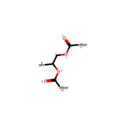 CCCCCCCCCC(=O)OCC(CCC)OC(=O)CCCCCCCCC